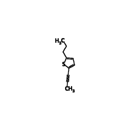 CC#Cc1ccc(CCC)s1